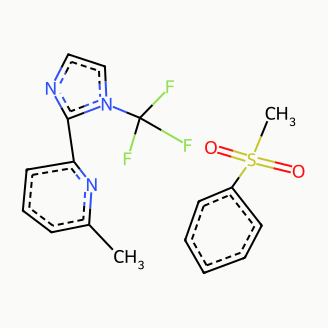 CS(=O)(=O)c1ccccc1.Cc1cccc(-c2nccn2C(F)(F)F)n1